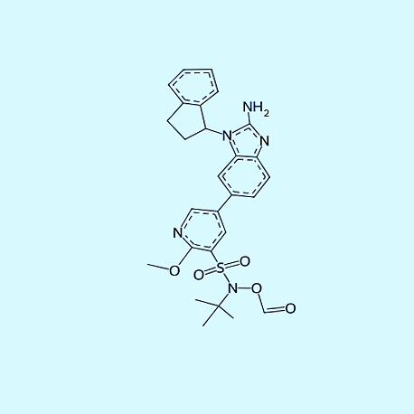 COc1ncc(-c2ccc3nc(N)n(C4CCc5ccccc54)c3c2)cc1S(=O)(=O)N(OC=O)C(C)(C)C